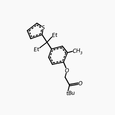 CCC(CC)(c1ccc(OCC(=O)C(C)(C)C)c(C)c1)c1cccs1